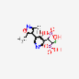 Cc1noc(C)c1-c1cncc(C(C(F)P(=O)(O)O)P(=O)(O)O)c1